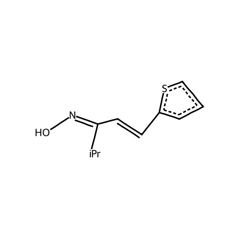 CC(C)C(/C=C/c1cccs1)=N\O